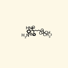 CC1(C)COC(CCC/C(=C2\C(=O)Nc3ccc(N)cc32)c2ccc[nH]2)OC1